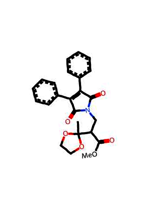 COC(=O)C(CN1C(=O)C(c2ccccc2)=C(c2ccccc2)C1=O)C1(C)OCCO1